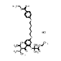 CCOC(=N)c1ccc(OCCCCCOc2ccc(C(=O)N(C(C)C)C(C)C)c(OC(C)(C)C(=O)OCC)c2)cc1.Cl